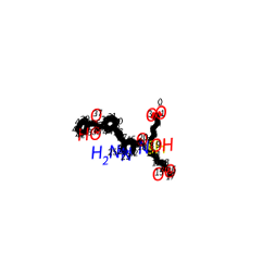 COC(=O)CCCC[SH](O)(CCCCC(=O)OC)=NC(=O)c1cnc(N)c(C#Cc2cccc(C(O)C(=O)c3ccccc3)c2)c1